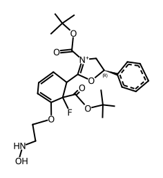 CC(C)(C)OC(=O)[N+]1=C(C2C=CC=C(OCCNO)C2(F)C(=O)OC(C)(C)C)O[C@H](c2ccccc2)C1